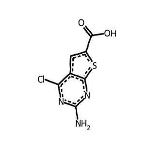 Nc1nc(Cl)c2cc(C(=O)O)sc2n1